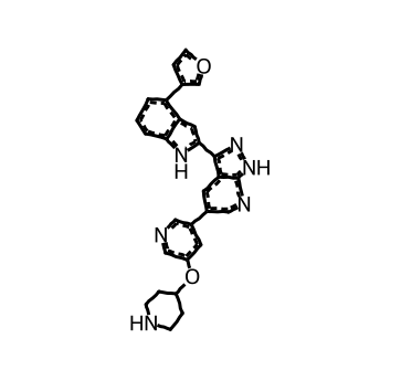 c1cc(-c2ccoc2)c2cc(-c3n[nH]c4ncc(-c5cncc(OC6CCNCC6)c5)cc34)[nH]c2c1